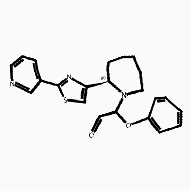 O=CC(Oc1ccccc1)N1CCCC[C@@H]1c1csc(-c2cccnc2)n1